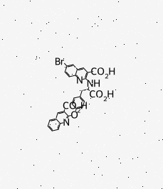 O=C(O)c1cc2cc(Br)ccc2nc1NC(Cc1ccc(Oc2nc3ccccc3cc2C(=O)O)cc1)C(=O)O